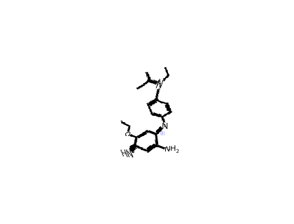 CCOC1=C/C(=N\c2ccc(N(CC)C(C)C)cc2)C(N)=CC1=N